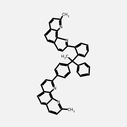 Cc1ccc2ccc3ccc(-c4ccc(C(C)(c5ccccc5)c5ccccc5-c5ccc6ccc7ccc(C)nc7c6n5)cc4)nc3c2n1